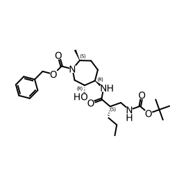 CCC[C@@H](CNC(=O)OC(C)(C)C)C(=O)N[C@@H]1CC[C@H](C)N(C(=O)OCc2ccccc2)C[C@H]1O